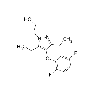 CCc1nn(CCO)c(CC)c1Oc1cc(F)ccc1F